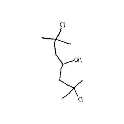 CC(C)(Cl)CC(O)CC(C)(C)Cl